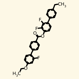 CCOc1ccc(-c2ccc(C(=O)Oc3ccc(-c4ccc(CC)cc4)c(F)c3F)cc2)c(F)c1